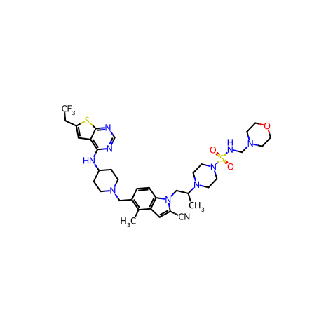 Cc1c(CN2CCC(Nc3ncnc4sc(CC(F)(F)F)cc34)CC2)ccc2c1cc(C#N)n2CC(C)N1CCN(S(=O)(=O)NCN2CCOCC2)CC1